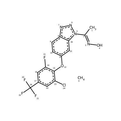 C.CC(=NO)n1nnc2ccc(Oc3c(F)cc(C(F)(F)F)cc3Cl)cc21